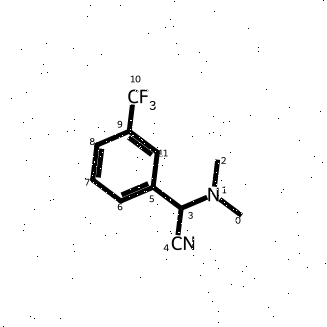 CN(C)C(C#N)c1cccc(C(F)(F)F)c1